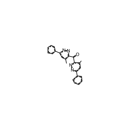 Cc1cc(-c2ccccc2)nnc1C(=O)c1nnc(-c2ccccc2)cc1C